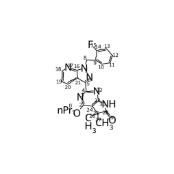 CCCOc1nc(-c2nn(Cc3ccccc3F)c3ncccc23)nc2c1C(C)(C)C(=O)N2